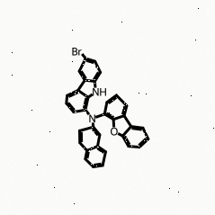 Brc1ccc2[nH]c3c(N(c4ccc5ccccc5c4)c4cccc5c4oc4ccccc45)cccc3c2c1